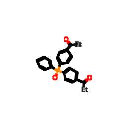 CCC(=O)c1ccc(P(=O)(c2ccccc2)c2ccc(C(=O)CC)cc2)cc1